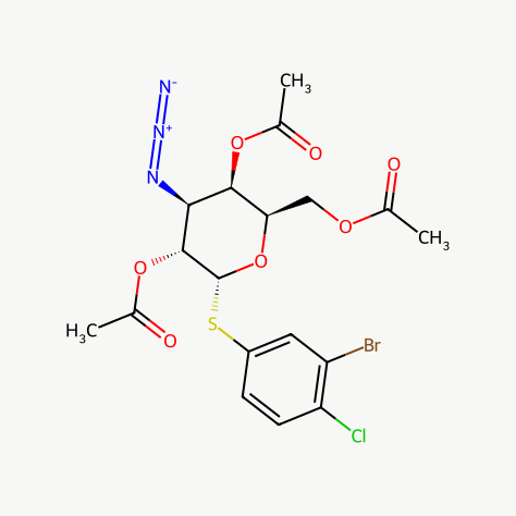 CC(=O)OC[C@H]1O[C@H](Sc2ccc(Cl)c(Br)c2)[C@H](OC(C)=O)[C@@H](N=[N+]=[N-])[C@H]1OC(C)=O